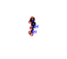 CS(=O)(=O)NCCC(=O)Nc1ccc(N2CCOCC2=O)cc1